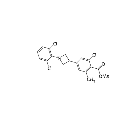 COC(=O)c1c(C)cc(C2CN(c3c(Cl)cccc3Cl)C2)cc1Cl